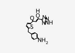 Nc1ccc(Cc2ccc(C(=O)C=C(O)c3nn[nH]n3)s2)cc1